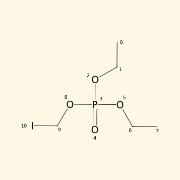 CCOP(=O)(OCC)OCI